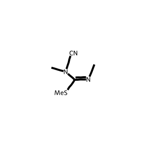 CN=C(SC)N(C)C#N